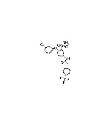 NS(=O)(=O)c1cc(NC(=O)Cc2ccc(C(F)(F)F)cc2)ccc1Oc1cccc(Cl)c1